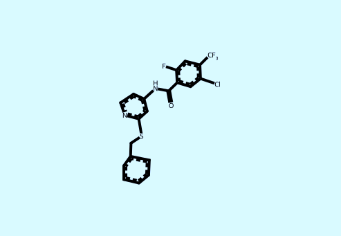 O=C(Nc1ccnc(SCc2ccccc2)c1)c1cc(Cl)c(C(F)(F)F)cc1F